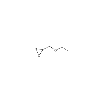 CCOCC1OO1